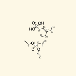 C=CCP(=O)(OCC)OCC.CCC(=CCP(=O)(O)O)CC